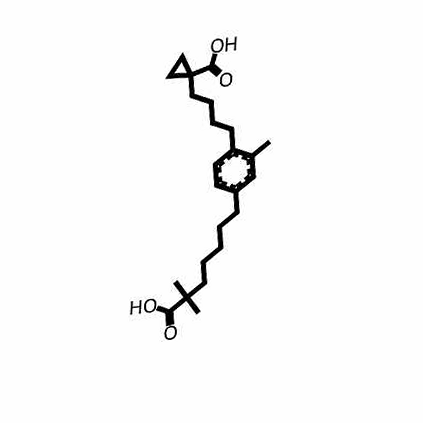 Cc1cc(CCCCCC(C)(C)C(=O)O)ccc1CCCCC1(C(=O)O)CC1